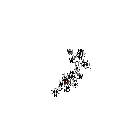 CCN1CC(COP(=O)(N(C)C)N2CC(COP(=O)(N(C)C)N3CC(COP(=O)(N(C)C)N4CC(COP(=O)(N(C)C)N5CC(COP(=O)(N(C)C)N6CC(COP(C)(=O)N(C)C)OC(n7cnc8c(=O)[nH]c(N)nc87)C6)OC(n6cnc7c(=O)[nH]c(N)nc76)C5)OC(n5cnc6c(N)ncnc65)C4)OC(n4cnc5c(=O)[nH]c(N)nc54)C3)OC(n3cc(C)c(=O)[nH]c3=O)C2)OC(n2cc(C)c(=O)[nH]c2=O)C1